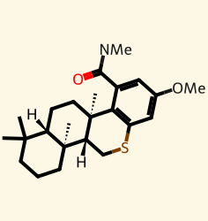 CNC(=O)c1cc(OC)cc2c1[C@]1(C)CC[C@H]3C(C)(C)CCC[C@]3(C)[C@H]1CS2